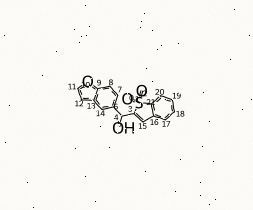 O=S1(=O)C(C(O)c2ccc3occc3c2)=Cc2ccccc21